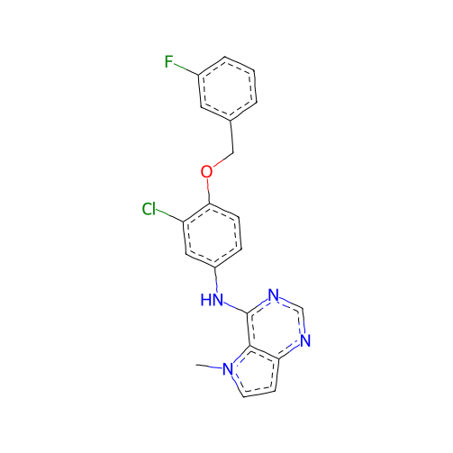 Cn1ccc2ncnc(Nc3ccc(OCc4cccc(F)c4)c(Cl)c3)c21